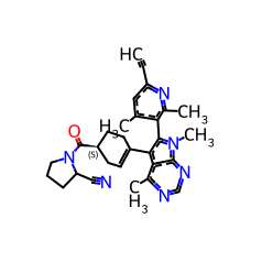 C#Cc1cc(C)c(-c2c(C3=CC[C@@H](C(=O)N4CCCC4C#N)CC3)c3c(C)ncnc3n2C)c(C)n1